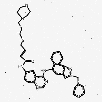 O=C(C=CCSCCCN1CCOCC1)Nc1ccc2ncnc(Nc3cc4cn(Cc5ccccc5)nc4c4ccccc34)c2c1